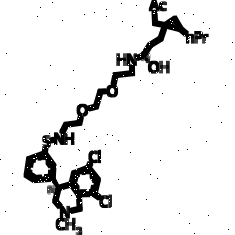 CCCC1CC1(CC[C@H](O)NCCOCCOCCNSc1cccc([C@@H]2CN(C)Cc3c(Cl)cc(Cl)cc32)c1)CC(C)=O